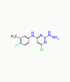 Cc1cc(Nc2cc(Cl)nc(NN)n2)ccc1F